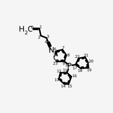 C=CCCC#N.c1ccc(P(c2ccccc2)c2ccccc2)cc1